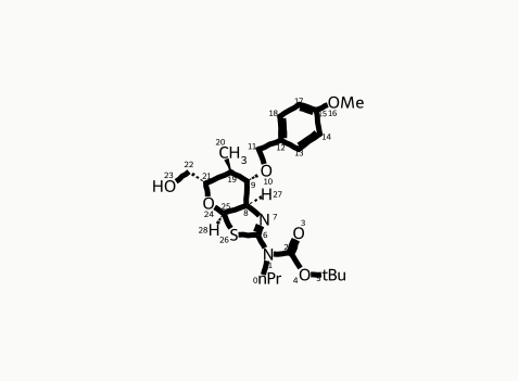 CCCN(C(=O)OC(C)(C)C)C1=N[C@@H]2[C@@H](OCc3ccc(OC)cc3)[C@H](C)[C@@H](CO)O[C@@H]2S1